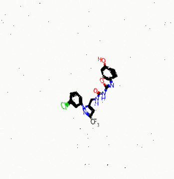 O=C(NCc1cc(C(F)(F)F)nn1-c1cccc(Cl)c1)Nc1nc2ccc(O)cc2o1